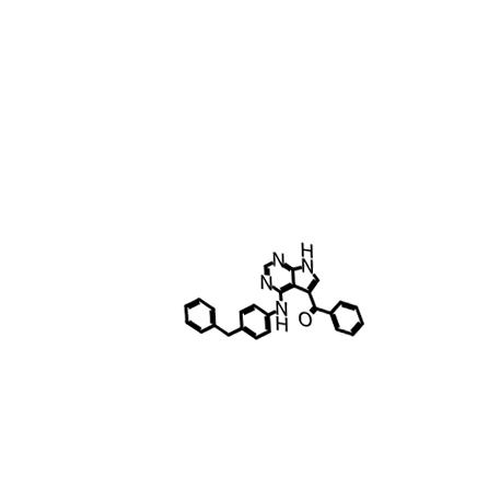 O=C(c1ccccc1)c1c[nH]c2ncnc(Nc3ccc(Cc4ccccc4)cc3)c12